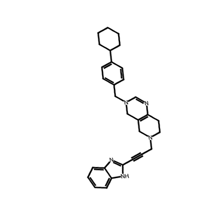 C(#Cc1nc2ccccc2[nH]1)CN1CCC2=C(CN(Cc3ccc(C4CCCCC4)cc3)C=N2)C1